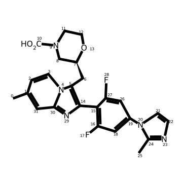 Cc1ccn2c(C[C@H]3CN(C(=O)O)CCO3)c(-c3c(F)cc(-n4ccnc4C)cc3F)nc2c1